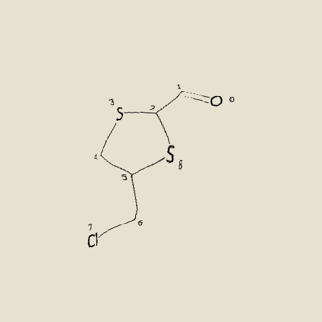 O=CC1SCC(CCl)S1